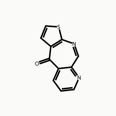 O=c1c2cccnc2cnc2sccc12